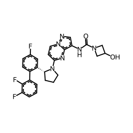 O=C(Nc1cnn2ccc(N3CCC[C@@H]3c3cc(F)ccc3-c3cccc(F)c3F)nc12)N1CC(O)C1